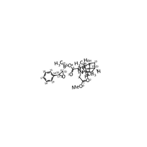 COC(=O)CN(CC(=O)OB(C)[C@@H]1O[C@H]1c1ccccc1)[C@@H]1C[C@@H]2C[C@H]([C@H]1C)C2(C)C